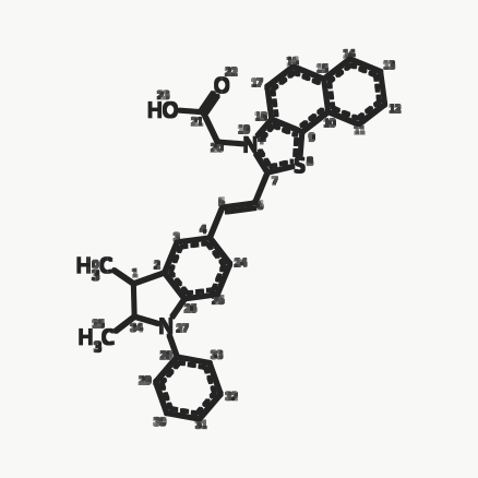 CC1c2cc(/C=C/c3sc4c5ccccc5ccc4[n+]3CC(=O)O)ccc2N(c2ccccc2)C1C